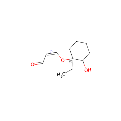 CC[C@]1(O/C=C\C=O)CCCCC1O